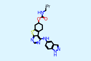 CC(C)CNC(=O)OC1CCc2c(sc3ncnc(Nc4ccc5[nH]ncc5c4)c23)C1